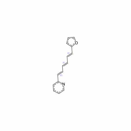 C(=C\C=C\c1ccco1)/C=C/c1ccccn1